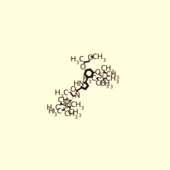 COC[C@H](C)Oc1cc(O[Si](C(C)C)(C(C)C)C(C)C)cc(-c2ccc(C3=N[C@H](CO[Si](C(C)C)(C(C)C)C(C)C)[C@H](C)O3)[nH]2)c1